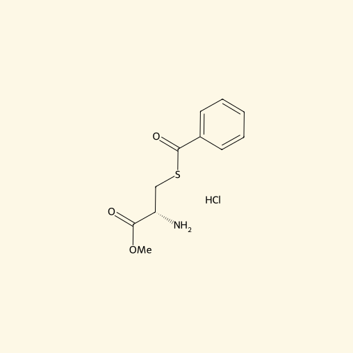 COC(=O)[C@@H](N)CSC(=O)c1ccccc1.Cl